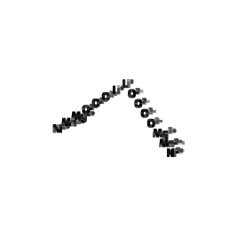 [Li+].[Li+].[Mg+2].[Mg+2].[Mn+2].[Mn+2].[Ni+2].[Ni+2].[O-2].[O-2].[O-2].[O-2].[O-2].[O-2].[O-2]